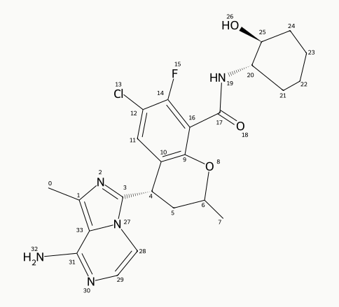 Cc1nc([C@H]2CC(C)Oc3c2cc(Cl)c(F)c3C(=O)N[C@H]2CCCC[C@@H]2O)n2ccnc(N)c12